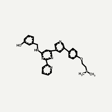 CN(C)CCOc1ccc(-c2cncc(-c3cc(NCc4cccc(O)c4)nc(-c4ccccn4)n3)c2)cc1